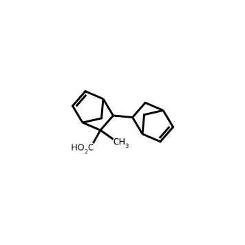 CC1(C(=O)O)C2C=CC(C2)C1C1CC2C=CC1C2